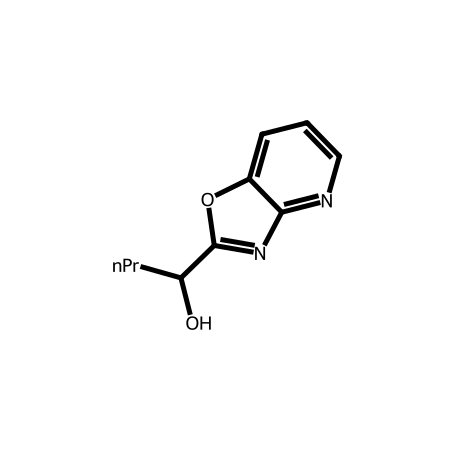 CCCC(O)c1nc2ncccc2o1